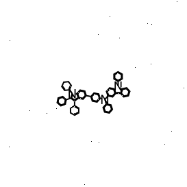 C1=CCCC(c2c(-c3ccccc3)n(C3=CCCC=C3)c3ccc(-c4ccc(N(c5ccccc5)c5ccc6c(c5)c5ccccc5n6-c5ccccc5)cc4)cc23)=C1